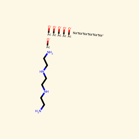 CC(=O)[O-].CC(=O)[O-].CC(=O)[O-].CC(=O)[O-].CC(=O)[O-].CC(=O)[O-].NCCNCCNCCN.[Na+].[Na+].[Na+].[Na+].[Na+].[Na+]